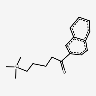 C[N+](C)(C)CCCCC(=O)c1ccc2ccccc2c1